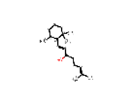 CC(C)=CCCC(O)C=CC1C(C)CCCC1(C)C